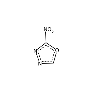 O=[N+]([O-])c1nn[c]o1